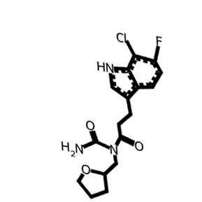 NC(=O)N(CC1CCCO1)C(=O)CCc1c[nH]c2c(Cl)c(F)ccc12